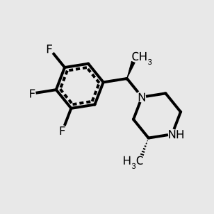 C[C@@H]1CN([C@H](C)c2cc(F)c(F)c(F)c2)CCN1